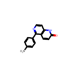 O=c1ccc2c(-c3ccc([N+](=O)[O-])cc3)nccc2[nH]1